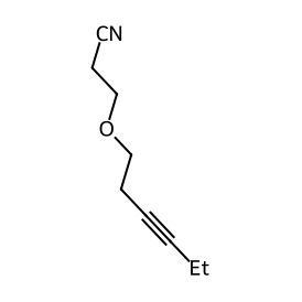 CCC#CCCOCCC#N